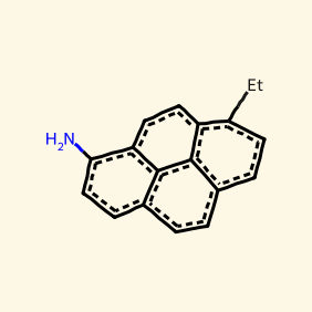 CCc1ccc2ccc3ccc(N)c4ccc1c2c34